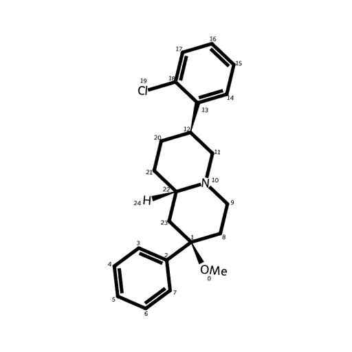 CO[C@]1(c2ccccc2)CCN2C[C@H](c3ccccc3Cl)CC[C@H]2C1